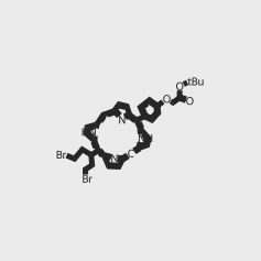 CC(C)(C)OC(=O)COc1ccc(-c2c3nc(cc4ccc([nH]4)c(C(CCBr)CCBr)c4nc(cc5ccc2[nH]5)C=C4)C=C3)cc1